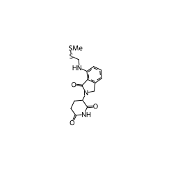 CSSCNc1cccc2c1C(=O)N(C1CCC(=O)NC1=O)C2